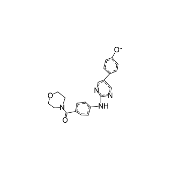 COc1ccc(-c2cnc(Nc3ccc(C(=O)N4CCOCC4)cc3)nc2)cc1